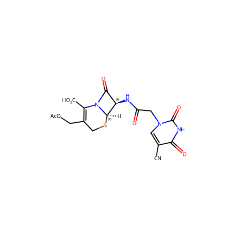 CC(=O)OCC1=C(C(=O)O)N2C(=O)[C@@H](NC(=O)Cn3cc(C#N)c(=O)[nH]c3=O)[C@H]2SC1